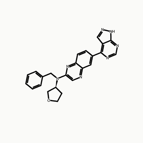 c1ccc(CN(c2cnc3cc(-c4ncnc5[nH]ncc45)ccc3n2)[C@H]2CCOC2)cc1